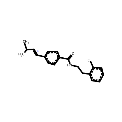 CC(C)/C=C/c1ccc(C(=O)NCCc2ccccc2Cl)cc1